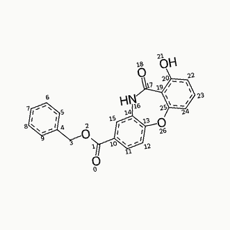 O=C(OCc1ccccc1)c1ccc2c(c1)NC(=O)c1c(O)cccc1O2